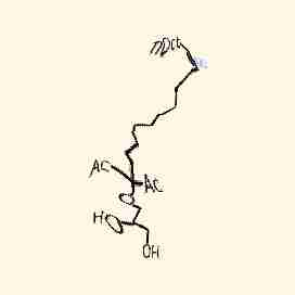 CCCCCCCC/C=C\CCCCCCCC(OCC(O)CO)(C(C)=O)C(C)=O